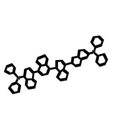 c1ccc(N(c2ccccc2)c2ccc3cc(-c4ccc(-c5ccc(-c6ccc(N(c7ccccc7)c7ccccc7)c7ccccc67)c6ccccc56)c5ccccc45)ccc3c2)cc1